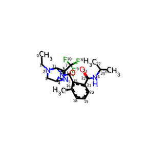 CCN1Cc2nc(C(F)(F)F)c1n2C(=O)c1c(C)cccc1C(=O)NC(C)C